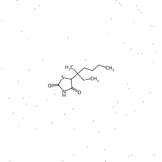 CCCCC(C)(CC)C1SC(=O)NC1=O